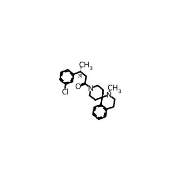 C[C@H](CC(=O)N1CCC2(CC1)c1ccccc1CCN2C)c1cccc(Cl)c1